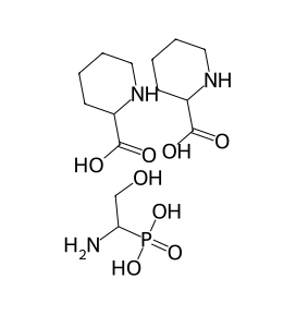 NC(CO)P(=O)(O)O.O=C(O)C1CCCCN1.O=C(O)C1CCCCN1